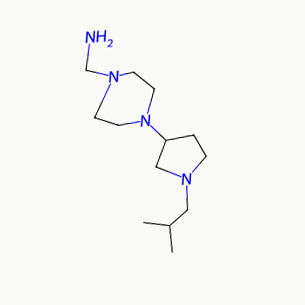 CC(C)CN1CCC(N2CCN(CN)CC2)C1